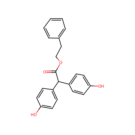 O=C(OCCc1ccccc1)C(c1ccc(O)cc1)c1ccc(O)cc1